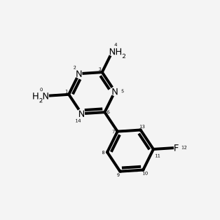 Nc1nc(N)nc(-c2cccc(F)c2)n1